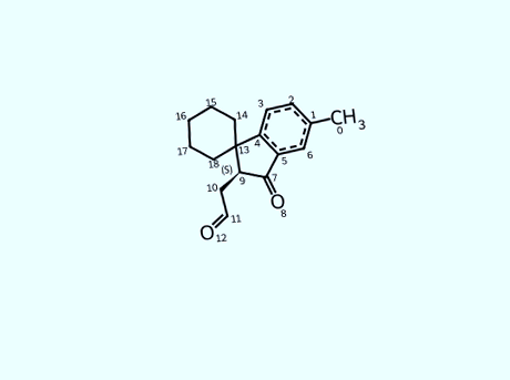 Cc1ccc2c(c1)C(=O)[C@@H](CC=O)C21CCCCC1